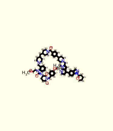 COCCn1c(=O)n(C2CCC(=O)N(Cc3ccc(OC)cc3)C2=O)c2cccc(CN3CCC(CC4CCN(C(=O)c5ccc(C6CCN(Cc7cc8c(-c9ccc%10c(cnn%10C%10CCCCO%10)c9)ccnc8n7C)CC6)cc5)CC4)CC3)c21